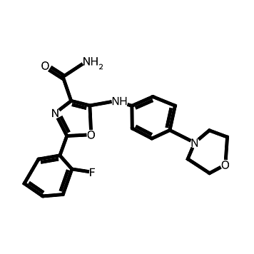 NC(=O)c1nc(-c2ccccc2F)oc1Nc1ccc(N2CCOCC2)cc1